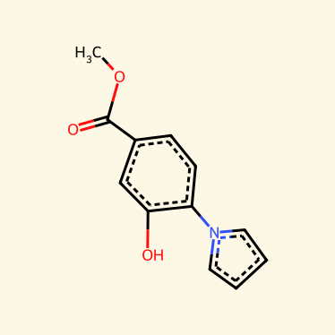 COC(=O)c1ccc(-n2cccc2)c(O)c1